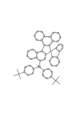 CC(C)(C)c1ccc(N(c2ccc(C(C)(C)C)cc2)c2cc3c(c4ccccc24)-c2c(c4ccccc4c4ccccc24)C32c3ccccc3-c3ccccc32)cc1